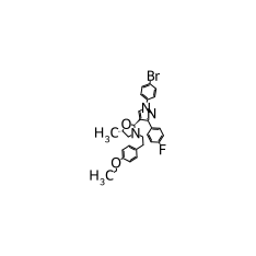 CCOc1ccc(CCN2C[C@H](C)O[C@H]2c2cn(-c3ccc(Br)cc3)nc2-c2ccc(F)cc2)cc1